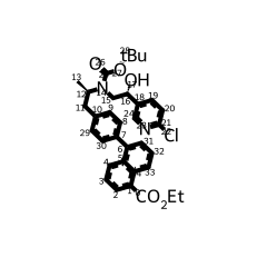 CCOC(=O)c1cccc2c(-c3ccc(C[C@@H](C)N(C[C@H](O)c4ccc(Cl)nc4)C(=O)OC(C)(C)C)cc3)cccc12